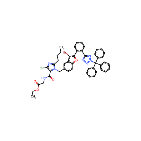 CCCCc1nc(Cl)c(C(=O)NCC(=O)OCC)n1Cc1ccc2oc(-c3ccccc3-c3nnn(C(c4ccccc4)(c4ccccc4)c4ccccc4)n3)c(Br)c2c1